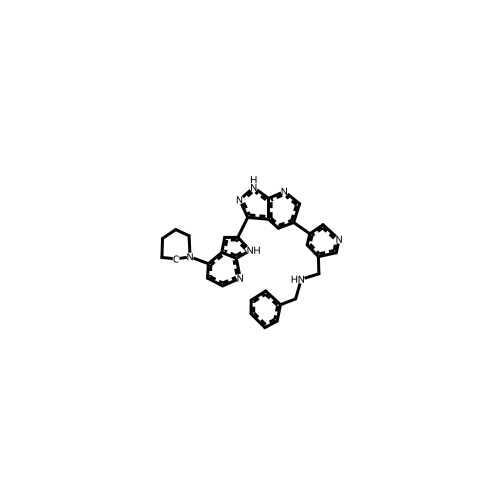 c1ccc(CNCc2cncc(-c3cnc4[nH]nc(-c5cc6c(N7CCCCC7)ccnc6[nH]5)c4c3)c2)cc1